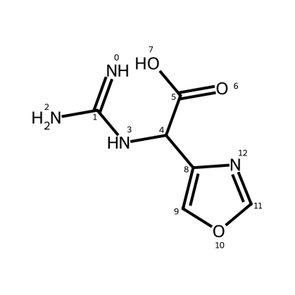 N=C(N)NC(C(=O)O)c1cocn1